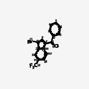 O=C(c1ccccc1)c1cc(Br)c2cc(C(F)(F)F)ccn12